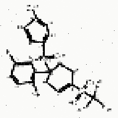 O=S(=O)(C1=CCC(c2cc(F)ccc2F)(S(=O)(=O)c2ccc(Cl)cc2)CC1)C(F)(F)F